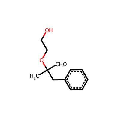 CC(C=O)(Cc1ccccc1)OCCO